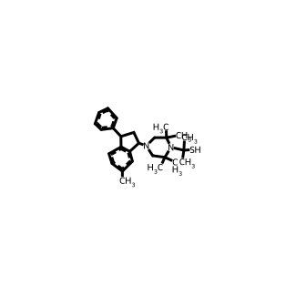 Cc1ccc2c(c1)C(N1CC(C)(C)N(C(C)(C)S)C(C)(C)C1)CC2c1ccccc1